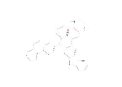 CC1(C)CCC(C)(C)c2cc(-c3cc4c(cc3N(c3ccccc3)c3ccc5c(ccc6ccccc65)c3)C(C)(C)c3ccccc3-4)ccc21